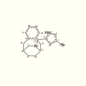 Brc1c[nH]c(CN2CC3CCC2Cc2ccccc2C3)c1